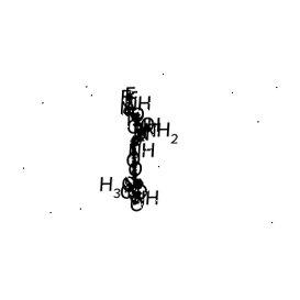 Cn1c(=O)n(C2CCC(=O)NC2=O)c2cccc(CCCOCCOCCNCc3ccc(-n4cc(NC(=O)c5coc(-c6ccnc(NCC(F)(F)F)c6)n5)c(C(N)=O)n4)cc3)c21